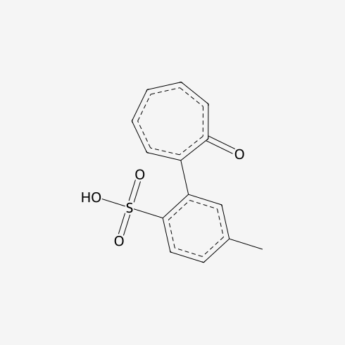 Cc1ccc(S(=O)(=O)O)c(-c2cccccc2=O)c1